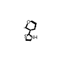 [C]1OC=CCC1C1NC=CS1